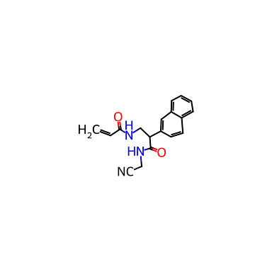 C=CC(=O)NCC(C(=O)NCC#N)c1ccc2ccccc2c1